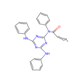 C=CC(=O)N(c1ccccc1)c1nc(Nc2ccccc2)nc(Nc2ccccc2)n1